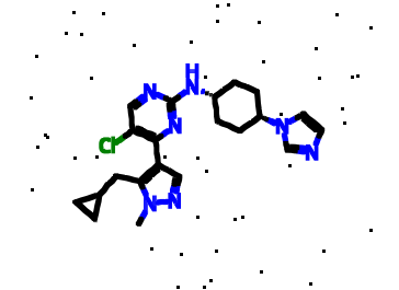 Cn1ncc(-c2nc(N[C@H]3CC[C@H](n4ccnc4)CC3)ncc2Cl)c1CC1CC1